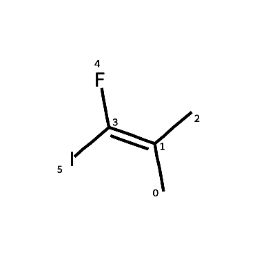 CC(C)=C(F)I